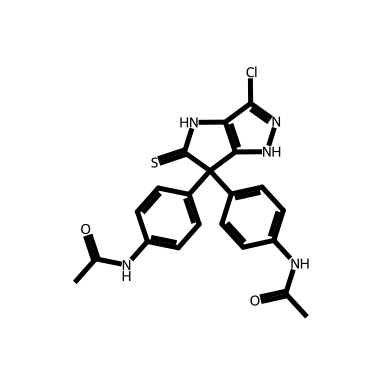 CC(=O)Nc1ccc(C2(c3ccc(NC(C)=O)cc3)C(=S)Nc3c(Cl)n[nH]c32)cc1